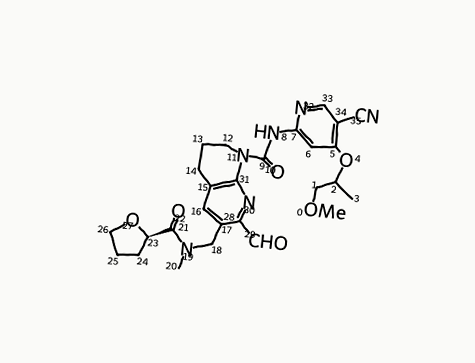 COCC(C)Oc1cc(NC(=O)N2CCCc3cc(CN(C)C(=O)[C@H]4CCCO4)c(C=O)nc32)ncc1C#N